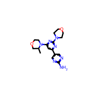 CC1COCCN1c1cc(-c2cnc(N)nc2)nc(N2CCOCC2)n1